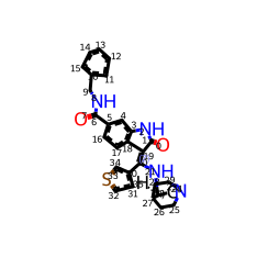 O=C1Nc2cc(C(=O)NCc3ccccc3)ccc2/C1=C(/N[C@H]1CN2CCC1CC2)c1ccsc1